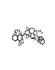 CC1CCC(=O)C2(CCN(c3nc4c(c(=O)[nH]3)CCCN4C)CC2)c2c(Cl)ccc(OC3CC4CCC(C3)N4C)c21